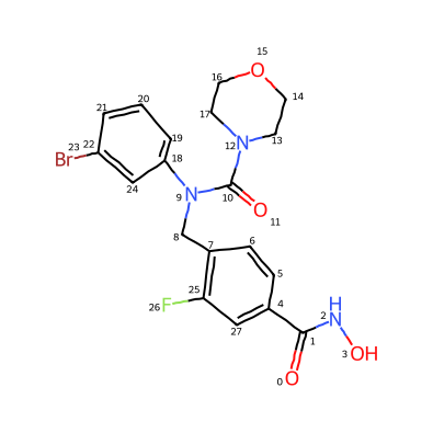 O=C(NO)c1ccc(CN(C(=O)N2CCOCC2)c2cccc(Br)c2)c(F)c1